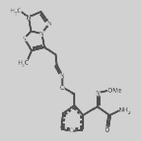 CON=C(C(N)=O)c1ccccc1CON=CCC1=C(C)SC2N(C)C=NN12